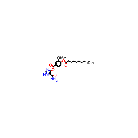 CCCCCCCCCCCCCCCCCC(=O)Oc1ccc(C(=O)Oc2nc[nH]c2C(N)=O)cc1OC